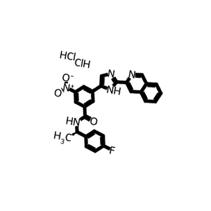 C[C@@H](NC(=O)c1cc(-c2cnc(-c3cc4ccccc4cn3)[nH]2)cc([N+](=O)[O-])c1)c1ccc(F)cc1.Cl.Cl